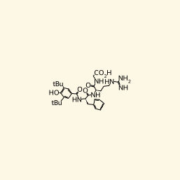 CC(C)(C)c1cc(C(=O)N[C@H](Cc2ccccc2)C(=O)N[C@H](CCCNC(=N)N)C(=O)NCC(=O)O)cc(C(C)(C)C)c1O